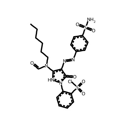 CCCCCCN(C=O)c1[nH]n(-c2ccccc2S(=O)(=O)Cl)c(=O)c1N=Nc1ccc(S(N)(=O)=O)cc1